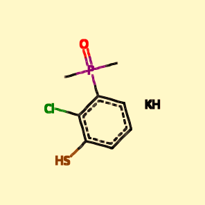 CP(C)(=O)c1cccc(S)c1Cl.[KH]